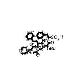 CCCCC(C(=O)NC(Cc1ccccc1)C(=O)O)N(COC(=O)C(C)(C)C)C(=O)C(CCc1ccccc1)NC(=O)CN1CCOCC1